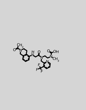 CC(=O)N1CCc2c(cccc2NCC(=O)N(CCN(C)C(=O)O)Cc2ncccc2C(F)(F)F)C1